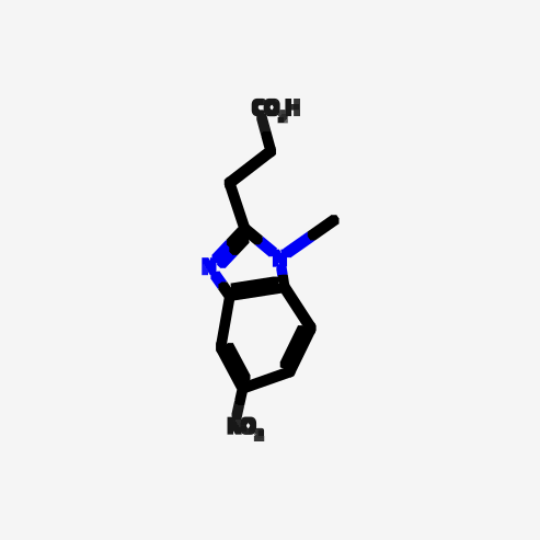 Cn1c(CCC(=O)O)nc2cc([N+](=O)[O-])ccc21